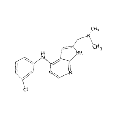 CN(C)Cc1cc2c(Nc3cccc(Cl)c3)ncnc2[nH]1